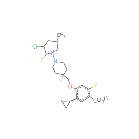 O=C(O)c1cc(C2CC2)c(OCC2(F)CCN(N3CC(C(F)(F)F)CC(Cl)C3F)CC2)cc1F